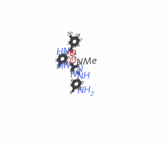 CNc1nc(Nc2ccc(C)c(N)c2)ncc1C(=O)Nc1cc(NC(=O)c2cccc(C)c2)ccc1C